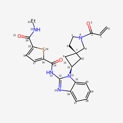 C=CC(=O)N1CC[C@]2(C1)C[C@H](n1c(NC(=O)c3ccc(C(=O)NCC)s3)nc3ccccc31)C2